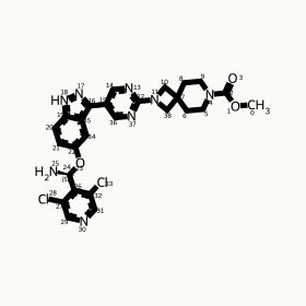 COC(=O)N1CCC2(CC1)CN(c1ncc(-c3n[nH]c4ccc(O[C@H](N)c5c(Cl)cncc5Cl)cc34)cn1)C2